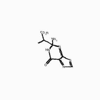 CC(C(=O)O)C1(N)N=C2N=CN=C2C(=O)N1